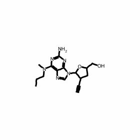 C#CC1CC(CO)OC1n1cnc2c(N(C)CCC)nc(N)nc21